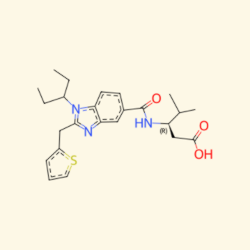 CCC(CC)n1c(Cc2cccs2)nc2cc(C(=O)N[C@H](CC(=O)O)C(C)C)ccc21